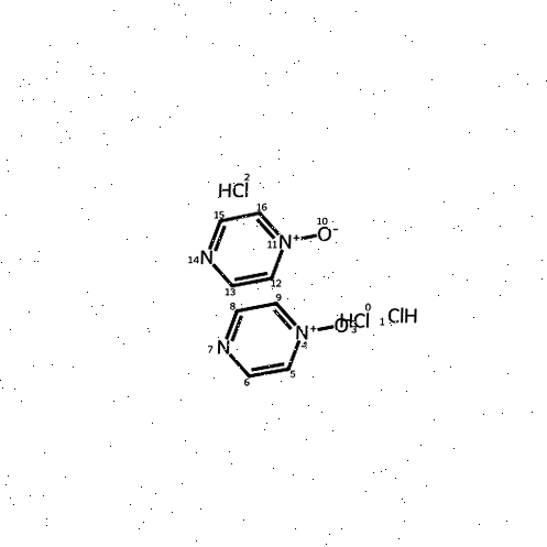 Cl.Cl.Cl.[O-][n+]1ccncc1.[O-][n+]1ccncc1